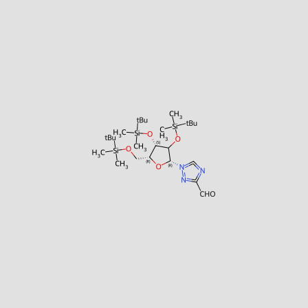 CC(C)(C)[Si](C)(C)OC[C@H]1O[C@@H](n2cnc(C=O)n2)C(O[Si](C)(C)C(C)(C)C)[C@H]1O[Si](C)(C)C(C)(C)C